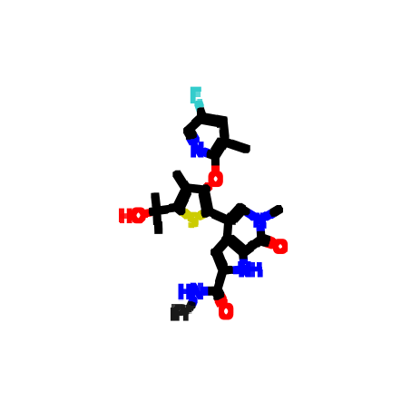 Cc1cc(F)cnc1Oc1c(-c2cn(C)c(=O)c3[nH]c(C(=O)NC(C)C)cc23)sc(C(C)(C)O)c1C